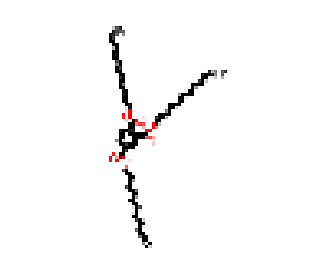 CC(C)CCCCCCCCCCOC(=O)c1ccc(C(=O)OCCCCCCCCCCC(C)C)c(C(=O)OCCCCCCCCCCC(C)C)c1